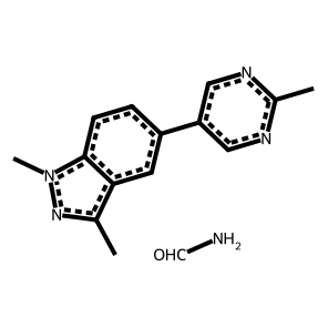 Cc1ncc(-c2ccc3c(c2)c(C)nn3C)cn1.NC=O